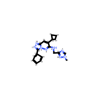 Cn1cnc(CNc2nn3c(-c4ccccc4)nnc3cc2C2CCC2)n1